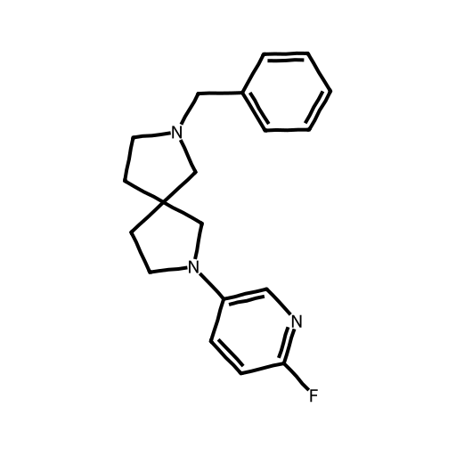 Fc1ccc(N2CCC3(CCN(Cc4ccccc4)C3)C2)cn1